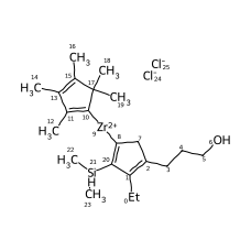 CCC1=C(CCCO)C[C]([Zr+2][C]2=C(C)C(C)=C(C)C2(C)C)=C1[SiH](C)C.[Cl-].[Cl-]